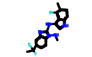 CNn1c(Nc2c[nH]c3ccc(C)c(F)c23)nc2cc(C(C)(F)F)ccc21